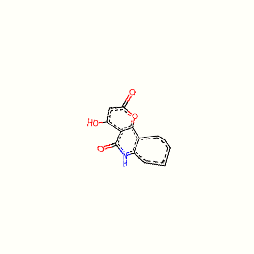 O=c1cc(O)c2c(=O)[nH]c3ccccc3c2o1